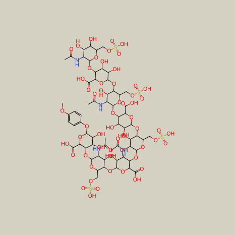 COc1ccc(OC2OC(C(=O)O)C(OC3OC(COS(=O)(=O)O)C(OC4OC(C(=O)O)C(OC5OC(COS(=O)(=O)O)C(OC6OC(C(=O)O)C(OC7OC(COS(=O)(=O)O)C(OC8OC(C(=O)O)C(OC9OC(COS(=O)(=O)O)C(O)C(O)C9NC(C)=O)C(O)C8O)C(O)C7NC(C)=O)C(O)C6O)C(O)C5NC(C)=O)C(O)C4O)C(O)C3NC(C)=O)C(O)C2O)cc1